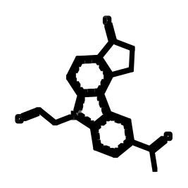 CC(=O)c1ccc2c(c1)c1c3c(ccc1n2CC=O)C(=O)CC3